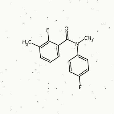 Cc1cccc(C(=O)N(C)c2ccc(F)cc2)c1F